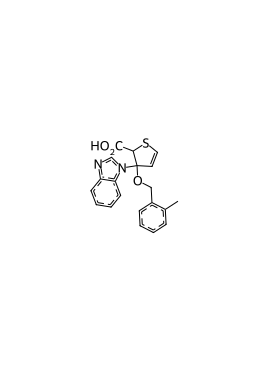 Cc1ccccc1COC1(n2cnc3ccccc32)C=CSC1C(=O)O